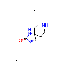 O=C1N=CC2(CCNCC2)N1